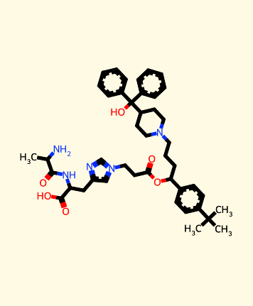 CC(N)C(=O)NC(Cc1cn(CCC(=O)OC(CCCN2CCC(C(O)(c3ccccc3)c3ccccc3)CC2)c2ccc(C(C)(C)C)cc2)cn1)C(=O)O